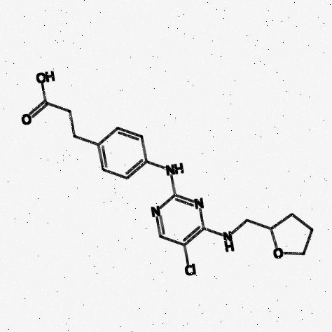 O=C(O)CCc1ccc(Nc2ncc(Cl)c(NCC3CCCO3)n2)cc1